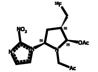 CC(=O)CN1[C@H](OC(C)=O)[C@@H](C[18F])C[C@@H]1n1ccnc1[N+](=O)[O-]